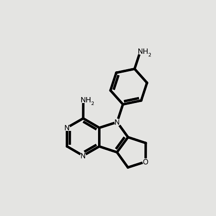 Nc1ncnc2c3c(n(C4=CCC(N)C=C4)c12)COC3